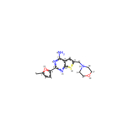 Cc1ccc(-c2nc(N)c3cc(CN4CCOCC4)sc3n2)o1